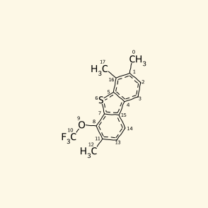 Cc1ccc2c(sc3c(OC(F)(F)F)c(C)ccc32)c1C